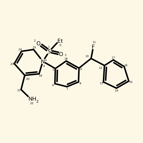 CCS(=O)(=O)[N+]1(c2cccc(C(F)c3ccccc3)c2)C=C(CN)C=CC1